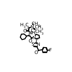 C[C@@H](C(=O)N[C@H](C(=O)N1CCC[C@H]1c1nc(C(=O)c2ccc(F)cc2)cs1)C1CCCCC1)N(C)C(C)(C)C